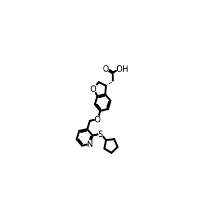 O=C(O)C[C@H]1COc2cc(OCc3cccnc3SC3CCCC3)ccc21